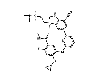 CNC(=O)c1cc(Nc2nccc(-c3cc(C#N)c4c(c3)[C@@](C)(CO[Si](C)(C)C(C)(C)C)CN4)n2)c(OC2CC2)cc1F